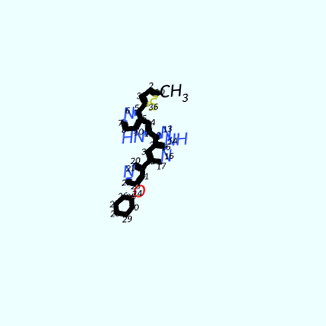 Cc1ccc(-c2nccc3[nH]c(-c4n[nH]c5ncc(-c6cncc(OC7CCCCC7)c6)cc45)cc23)s1